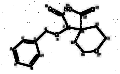 O=CN(OCc1ccccc1)C1(C(=O)O)CCOCC1